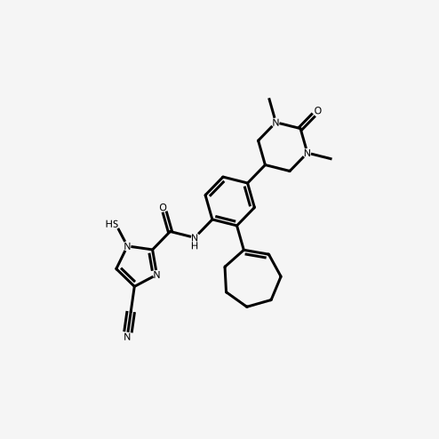 CN1CC(c2ccc(NC(=O)c3nc(C#N)cn3S)c(C3=CCCCCC3)c2)CN(C)C1=O